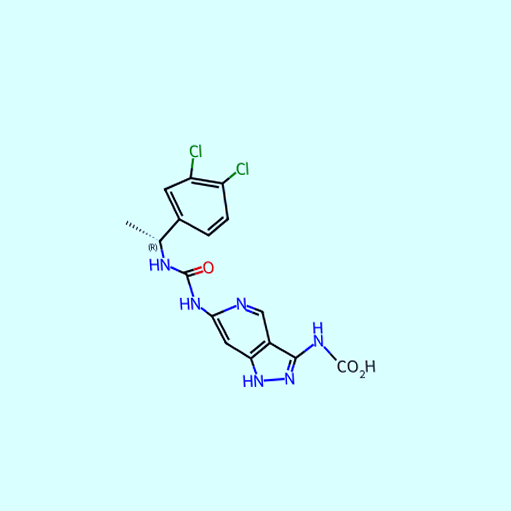 C[C@@H](NC(=O)Nc1cc2[nH]nc(NC(=O)O)c2cn1)c1ccc(Cl)c(Cl)c1